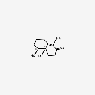 CC1=C2CCC[C@H](O)[C@@]2(C)CCC1=O